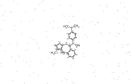 CC(C)c1ccc(C(O)N2Cc3cnn(C)c3Nc3ccccc32)cc1